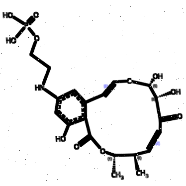 C[C@@H]1/C=C\C(=O)[C@@H](O)[C@@H](O)C/C=C/c2cc(NCCOP(=O)(O)O)cc(O)c2C(=O)O[C@H]1C